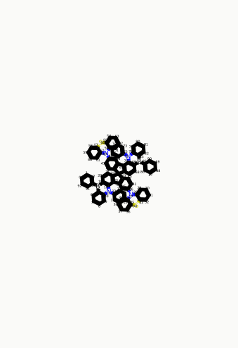 c1ccc(B2c3ccccc3N(c3ccccc3)c3c2ccc2c3-c3cc(N4c5ccccc5Sc5ccccc54)ccc3C23c2ccc(N4c5ccccc5Sc5ccccc54)cc2-c2c3ccc3c2N(c2ccccc2)c2ccccc2B3c2ccccc2)cc1